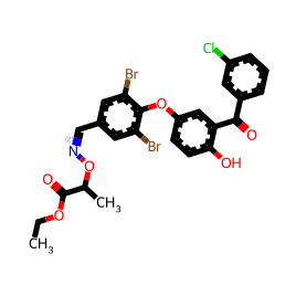 CCOC(=O)C(C)O/N=C\c1cc(Br)c(Oc2ccc(O)c(C(=O)c3cccc(Cl)c3)c2)c(Br)c1